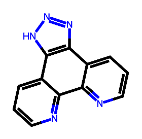 c1cnc2c(c1)c1nn[nH]c1c1cccnc12